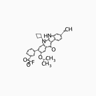 C#Cc1ccc2c(c1)[nH]c1c2c(=O)c2cc(OC(C)C)c(-c3cccc(S(=O)(=O)F)c3)cc2n1C1CCC1